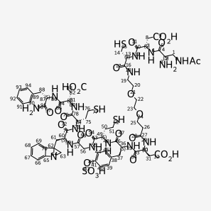 CC(=O)NC[C@H](N)C(=O)N[C@@H](CC(=O)O)C(=O)N[C@@H](CS)C(=O)NCCOCCOCCC(=O)N[C@@H](CC(=O)O)C(=O)N[C@@H](Cc1ccc(OS(=O)(=O)O)cc1)C(=O)N[C@@H](CCS)C(=O)NCC(=O)N[C@@H](CC12CN1c1ccccc12)C(=O)N[C@@H](CCS)C(=O)N[C@@H](CC(=O)O)C(=O)N[C@@H](Cc1ccccc1)C(N)=O